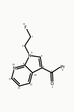 CC(C)C(=O)c1cn(CCF)c2ncccc12